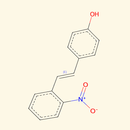 O=[N+]([O-])c1ccccc1/C=C/c1ccc(O)cc1